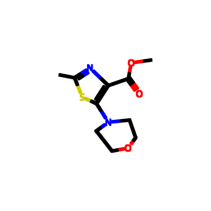 COC(=O)c1nc(C)sc1N1CCOCC1